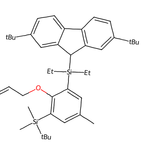 C=CCOc1c([Si](CC)(CC)C2c3cc(C(C)(C)C)ccc3-c3ccc(C(C)(C)C)cc32)cc(C)cc1[Si](C)(C)C(C)(C)C